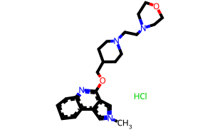 Cl.Cn1cc2c(OCC3CCN(CCN4CCOCC4)CC3)nc3ccccc3c2c1